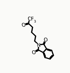 O=C1c2ccccc2C(=O)N1CCCCC(=O)C(F)(F)F